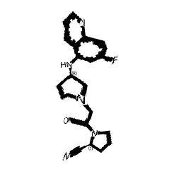 N#C[C@@H]1CCCN1C(=O)CN1CC[C@@H](Nc2cc(F)cc3ncccc23)C1